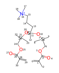 C=C(C)C(=O)OC[Si](C)(C)O[Si](C)(CCC[N+](C)(C)C)O[Si](C)(C)COC(=O)C(=C)C